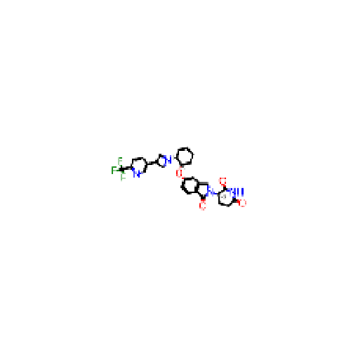 O=C1CC[C@@H](N2Cc3cc(O[C@H]4CCCC[C@H]4N4CC(c5ccc(C(F)(F)F)nc5)C4)ccc3C2=O)C(=O)N1